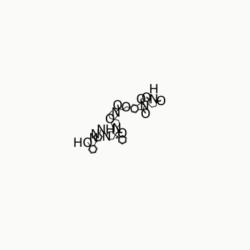 Nc1nnc(-c2ccccc2O)cc1N1CCC(C(=O)N2CCC3(CC2)CN(C(=O)COc2ccc4c(c2)C(=O)N(C2CCC(=O)NC2=O)C4=O)CCO3)(c2ccccc2)CC1